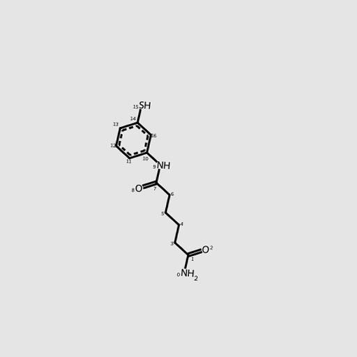 NC(=O)CCCCC(=O)Nc1cccc(S)c1